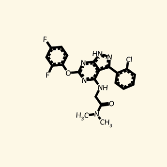 CN(C)C(=O)CNc1nc(Oc2ccc(F)cc2F)nc2[nH]nc(-c3ccccc3Cl)c12